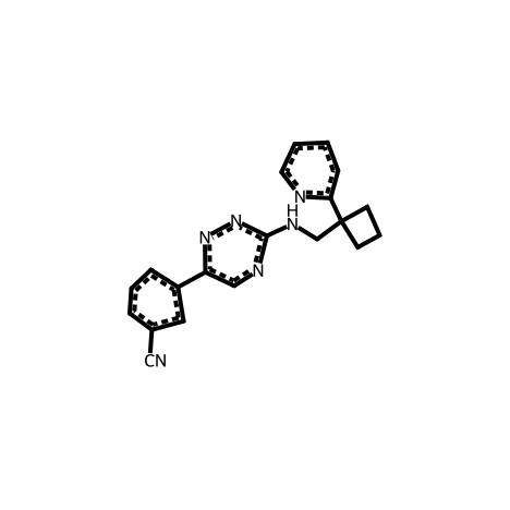 N#Cc1cccc(-c2cnc(NCC3(c4ccccn4)CCC3)nn2)c1